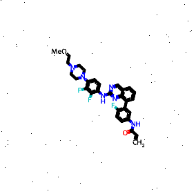 C=CC(=O)Nc1ccc(F)c(-c2cccc3cnc(Nc4ccc(N5CCN(CCOC)CC5)c(F)c4F)nc23)c1